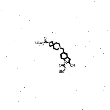 CC(C)(C)OC(=O)N1CC2(CCN(Cc3ccc4c(c3)cc(C#N)n4C(=O)OC(C)(C)C)CC2)C1